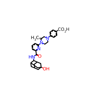 C[C@@H]1CN(c2ccc(C(=O)O)cc2)CCN1c1cccc(C(=O)NC2C3CC4CC2CC(O)(C4)C3)n1